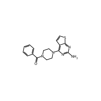 Nc1nc(N2CCN(C(=O)c3ccccc3)CC2)c2ccsc2n1